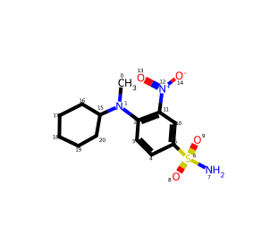 CN(c1ccc(S(N)(=O)=O)cc1[N+](=O)[O-])C1CCCCC1